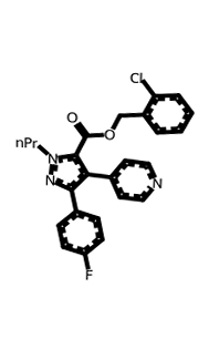 CCCn1nc(-c2ccc(F)cc2)c(-c2ccncc2)c1C(=O)OCc1ccccc1Cl